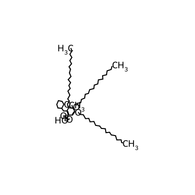 CCCCCCCCCCCCCCCCCCOC1=CC(S(=O)(=O)O)=C(CC2CCCCC2)C(OCCCCCCCCCCCCCCCCCC)C1(C)OCCCCCCCCCCCCCCCCCC